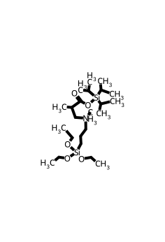 CCO[Si](CCCN(C)CC(C)C(=O)O[Si](C(C)C)(C(C)C)C(C)C)(OCC)OCC